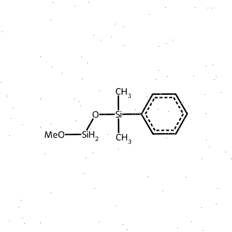 CO[SiH2]O[Si](C)(C)c1ccccc1